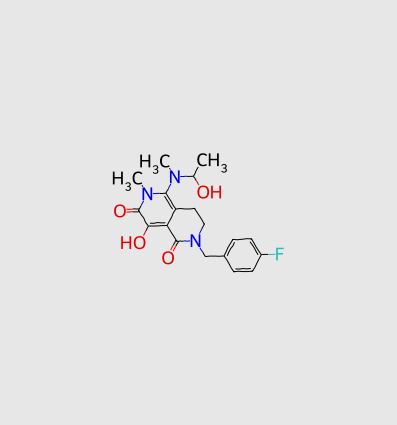 CC(O)N(C)c1c2c(c(O)c(=O)n1C)C(=O)N(Cc1ccc(F)cc1)CC2